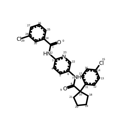 O=C(Nc1ccc(NC(=O)C2(c3ccc(Cl)cc3)CCCC2)cn1)c1cccc(Cl)c1